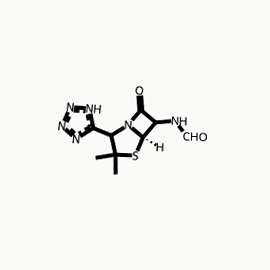 CC1(C)S[C@@H]2C(NC=O)C(=O)N2C1c1nnn[nH]1